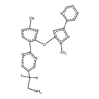 Cn1nc(-c2ccccn2)cc1Oc1cc(C#N)ccc1-c1ncc(C(F)(F)CN)cn1